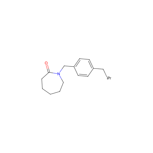 CC(C)Cc1ccc(CN2CCCCCC2=O)cc1